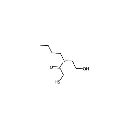 CCCCN(CCO)C(=O)CS